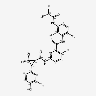 O=C(Nc1c(F)ccc(NC(=O)C(F)F)c1F)c1cc(NC(=O)[C@H]2[C@H](c3ccc(Cl)c(Cl)c3)C2(Cl)Cl)ccc1F